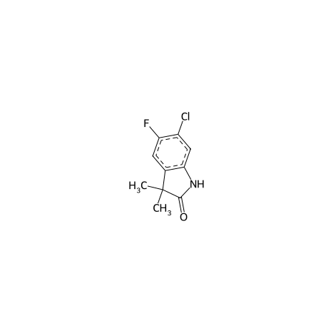 CC1(C)C(=O)Nc2cc(Cl)c(F)cc21